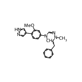 COc1cc(N(C)/C=N\N(C)CCc2ccccc2)ccc1-c1cn[nH]c1